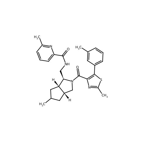 Cc1cccc(-c2sc(C)nc2C(=O)N2C[C@@H]3CC(C)C[C@@H]3[C@H]2CNC(=O)c2cccc(C)n2)c1